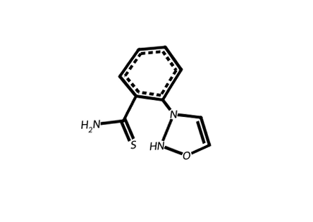 NC(=S)c1ccccc1N1C=CON1